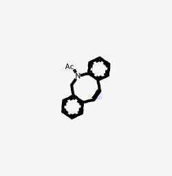 CC(=O)N1Cc2ccccc2/C=C\c2ccccc21